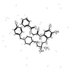 C[C@](O)(CNC1CCN(Cc2ccc(Cl)cc2)CC1)COc1cc(O)c(Cl)cc1NC(=O)COC(=O)c1ccccc1